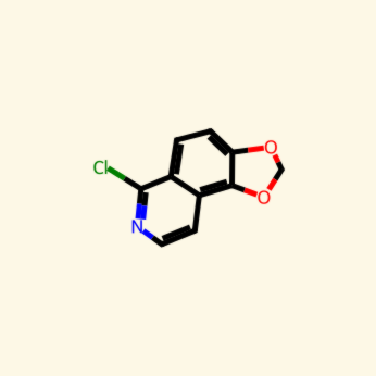 Clc1nccc2c3c(ccc12)OCO3